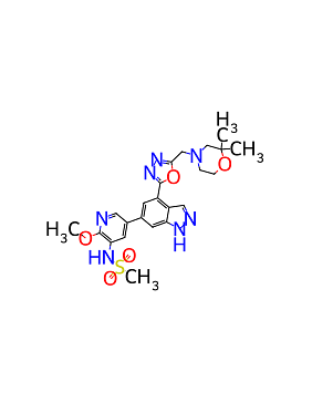 COc1ncc(-c2cc(-c3nnc(CN4CCOC(C)(C)C4)o3)c3cn[nH]c3c2)cc1NS(C)(=O)=O